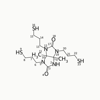 CC12NC(=O)N(CCCS)C1(C)N(CCCS)C(=O)N2CCCS